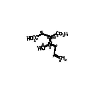 C=CCN(O)[C@@H](CC(=O)O)C(=O)O